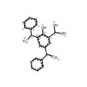 CC(c1ccccc1)c1cc(C(O)O)c(O)c(C(C)c2ccccc2)c1